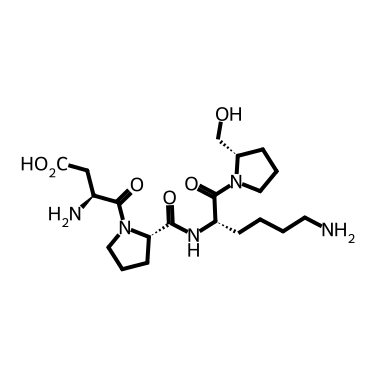 NCCCC[C@H](NC(=O)[C@@H]1CCCN1C(=O)[C@@H](N)CC(=O)O)C(=O)N1CCC[C@H]1CO